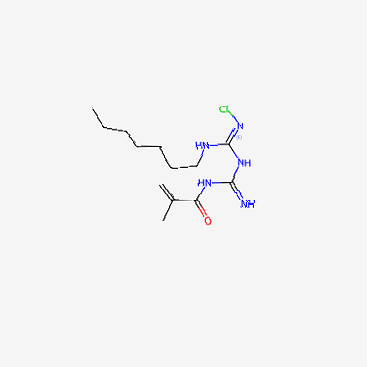 C=C(C)C(=O)NC(=N)N/C(=N/Cl)NCCCCCCC